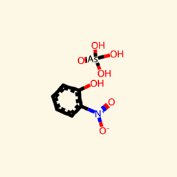 O=[As](O)(O)O.O=[N+]([O-])c1ccccc1O